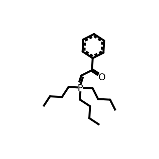 CCCCP(=CC(=O)c1ccccc1)(CCCC)CCCC